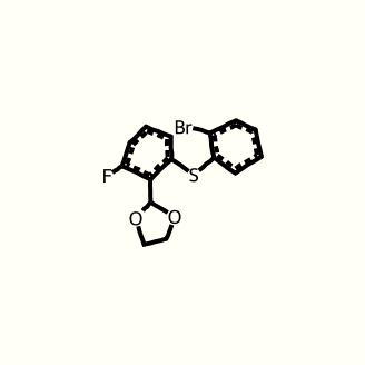 Fc1cccc(Sc2ccccc2Br)c1C1OCCO1